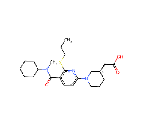 CCCSc1nc(N2CCC[C@H](CC(=O)O)C2)ccc1C(=O)N(C)C1CCCCC1